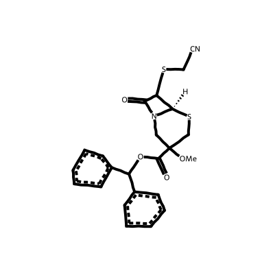 COC1(C(=O)OC(c2ccccc2)c2ccccc2)CS[C@@H]2C(SCC#N)C(=O)N2C1